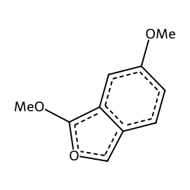 COc1ccc2coc(OC)c2c1